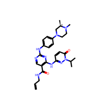 C=CCNC(=O)c1cnc(Nc2ccc(N3CCN(C)[C@H](C)C3)cc2)nc1Nc1ccc(=O)n(C(C)C)n1